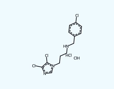 Cl.Cl.Clc1ccc(CNCCCn2cnc(Cl)c2Cl)cc1